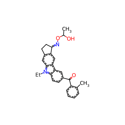 CCn1c2ccc(C(=O)c3ccccc3C)cc2c2cc3c(cc21)CC/C3=N\OC(C)O